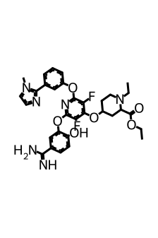 CCOC(=O)C1CC(Oc2c(F)c(Oc3cccc(-c4nccn4C)c3)nc(Oc3cc(C(=N)N)ccc3O)c2F)CCN1CC